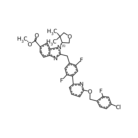 COC(=O)c1ccc2nc(Cc3cc(F)c(-c4cccc(OCc5ccc(Cl)cc5F)n4)cc3F)n([C@@H]3COCC3(C)C)c2c1